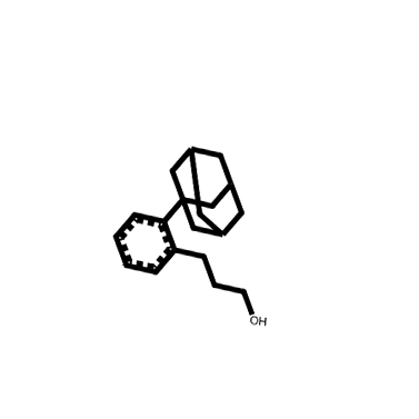 OCCCc1c[c]ccc1C12CC3CC(CC(C3)C1)C2